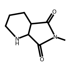 CN1C(=O)C2CCCNC2C1=O